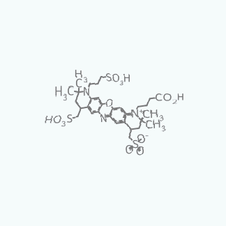 CC1(C)CC(CS(=O)(=O)O)c2cc3c(cc2N1CCCS(=O)(=O)O)Oc1cc2c(cc1=N3)C(CS(=O)(=O)[O-])CC(C)(C)[N+]=2CCCC(=O)O